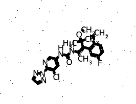 C=Nc1ccc(F)cc1/C(=C(\C)NC(=O)Nc1cnc(-n2nccn2)c(Cl)c1)C(C)(C)OC